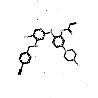 C#Cc1ccc(CNc2cc(Nc3ccc(N4CCN(CC)CC4)cc3NC(=O)C=C)ncc2C#N)cc1